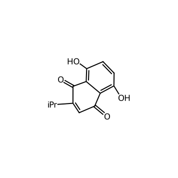 CC(C)C1=CC(=O)c2c(O)ccc(O)c2C1=O